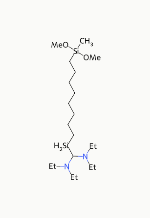 CCN(CC)C([SiH2]CCCCCCCC[Si](C)(OC)OC)N(CC)CC